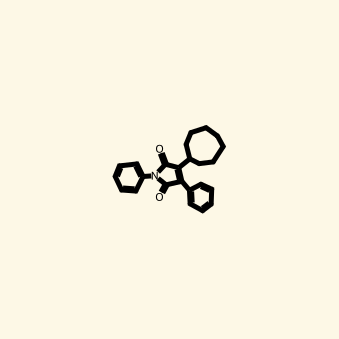 O=C1C(c2ccccc2)=C(C2CCCCCCC2)C(=O)N1c1ccccc1